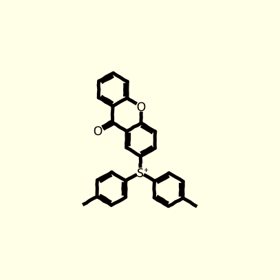 Cc1ccc([S+](c2ccc(C)cc2)c2ccc3oc4ccccc4c(=O)c3c2)cc1